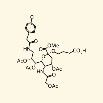 COC(=O)[C@@]1(OCCCC(=O)O)C[C@H](OC(C)=O)[C@@H](NC(=O)COC(C)=O)[C@H]([C@H](OC(C)=O)[C@@H](CNC(=O)Cc2ccc(Cl)cc2)OC(C)=O)O1